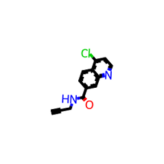 C#CCNC(=O)c1ccc2c(Cl)ccnc2c1